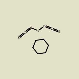 C1CCCCC1.S=C=NSN=C=S